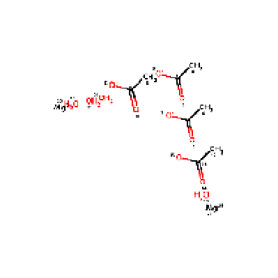 CC(=O)[O-].CC(=O)[O-].CC(=O)[O-].CC(=O)[O-].O.O.O.O.[Mg+2].[Mg+2]